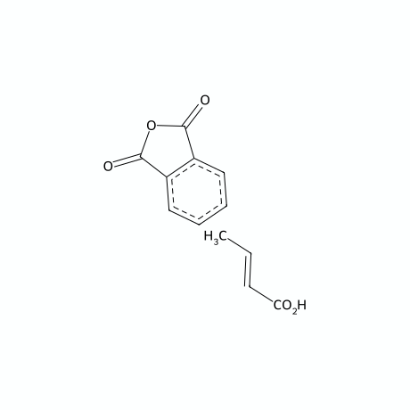 CC=CC(=O)O.O=C1OC(=O)c2ccccc21